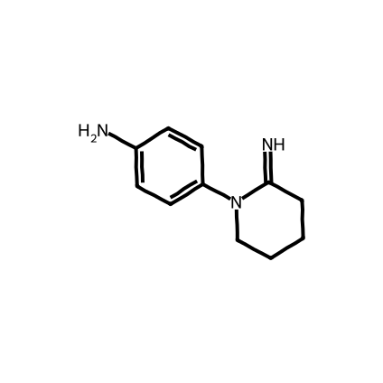 N=C1CCCCN1c1ccc(N)cc1